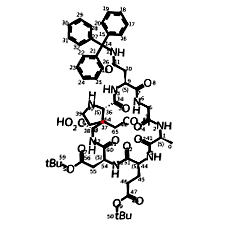 C[C@H](NC(=O)CNC(=O)[C@H](CC(=O)NC(c1ccccc1)(c1ccccc1)c1ccccc1)NC(=O)[C@@H]1CCCN1)C(=O)N[C@@H](CCC(=O)OC(C)(C)C)C(=O)N[C@@H](CC(=O)OC(C)(C)C)C(=O)N[C@@H](CCC(=O)O)C(=O)O